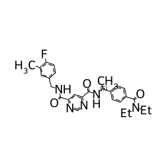 CCN(CC)C(=O)c1ccc([C@H](C)NC(=O)c2cc(C(=O)NCc3ccc(F)c(C)c3)ncn2)cc1